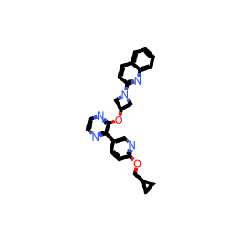 c1ccc2nc(N3CC(Oc4nccnc4-c4ccc(OCC5CC5)nc4)C3)ccc2c1